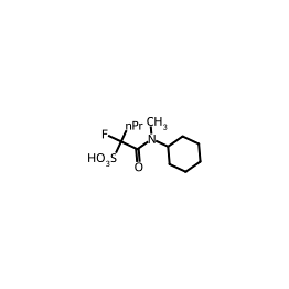 CCCC(F)(C(=O)N(C)C1CCCCC1)S(=O)(=O)O